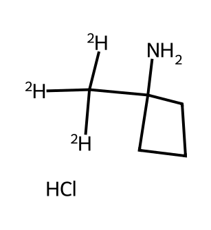 Cl.[2H]C([2H])([2H])C1(N)CCC1